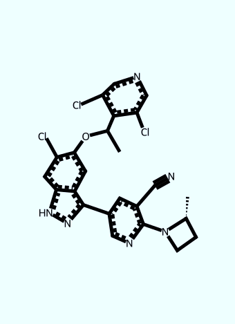 CC(Oc1cc2c(-c3cnc(N4CC[C@H]4C)c(C#N)c3)n[nH]c2cc1Cl)c1c(Cl)cncc1Cl